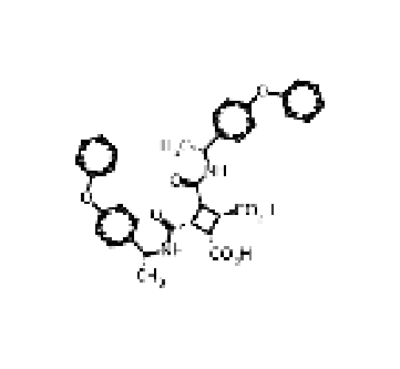 C[C@@H](NC(=O)[C@H]1[C@@H](C(=O)O)[C@H](C(=O)O)[C@@H]1C(=O)N[C@H](C)c1ccc(Oc2ccccc2)cc1)c1ccc(Oc2ccccc2)cc1